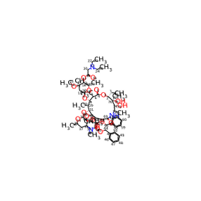 CC[C@H]1OC(=O)[C@H](C)[C@@H](O[C@H]2C[C@@](C)(OC)[C@@H](OC(=O)CN(CC)CC)[C@H](C)O2)[C@H](C)[C@@H](O[C@@H]2O[C@H](C)C[C@H](N(C)C(=O)OCc3ccccc3)[C@H]2OC(=O)OCc2ccccc2)[C@](C)(OC)CCC(=O)N[C@H](C)[C@@H](O)[C@]1(C)O